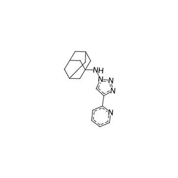 c1ccc(-c2cn(NC34CC5CC(CC(C5)C3)C4)nn2)nc1